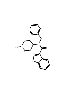 CCCCN1CCC(N(Cc2cccnc2)C(=O)c2n[nH]c3ccccc23)CC1